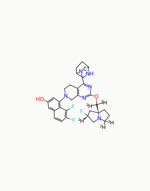 [2H]C1([2H])CC[C@@]2(C([2H])([2H])Oc3nc4c(c(N5CC6CCC5CN6)n3)CCN(c3cc(O)cc5ccc(F)c(F)c35)C4)C[C@@]([2H])(F)CN12